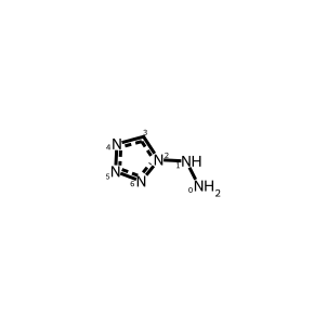 NNn1cnnn1